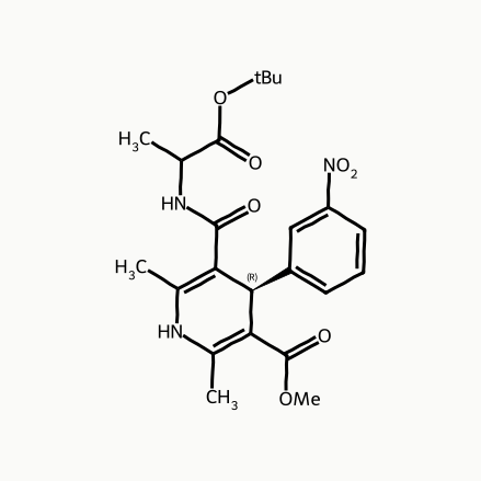 COC(=O)C1=C(C)NC(C)=C(C(=O)NC(C)C(=O)OC(C)(C)C)[C@H]1c1cccc([N+](=O)[O-])c1